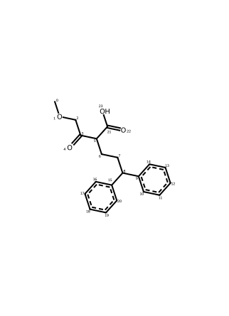 COCC(=O)C(CCC(c1ccccc1)c1ccccc1)C(=O)O